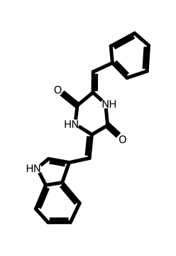 O=c1[nH]/c(=C\c2c[nH]c3ccccc23)c(=O)[nH]/c1=C\c1ccccc1